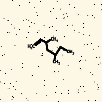 C=CC(C)CC(C)CC